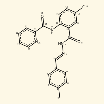 Cc1ccc(/C=N/NC(=O)c2cc(Cl)ccc2NC(=O)c2ccccn2)cc1